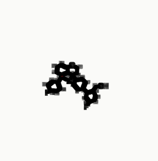 O=C(N[C@]1(c2ccc(-c3cc(F)ccc3CO)cc2)CCOc2cccnc21)c1ccc(F)cc1